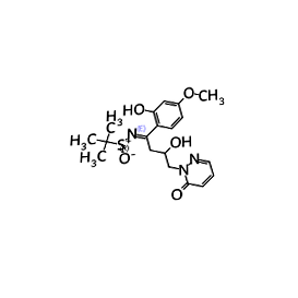 COc1ccc(/C(CC(O)Cn2ncccc2=O)=N/[S@@+]([O-])C(C)(C)C)c(O)c1